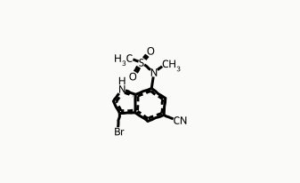 CN(c1cc(C#N)cc2c(Br)c[nH]c12)S(C)(=O)=O